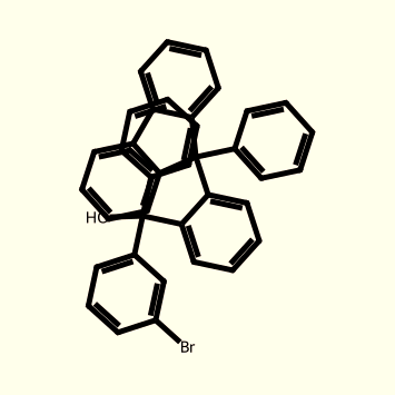 OC(c1ccccc1)(c1cccc(Br)c1)c1ccccc1C1(c2ccccc2)c2ccccc2-c2ccccc21